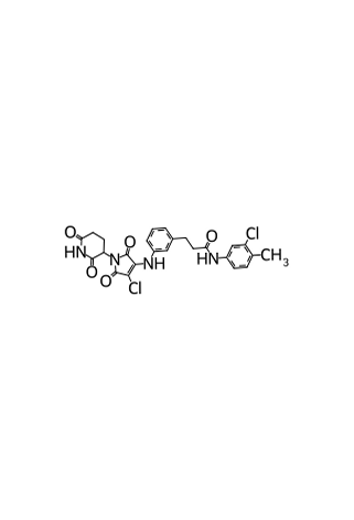 Cc1ccc(NC(=O)CCc2cccc(NC3=C(Cl)C(=O)N(C4CCC(=O)NC4=O)C3=O)c2)cc1Cl